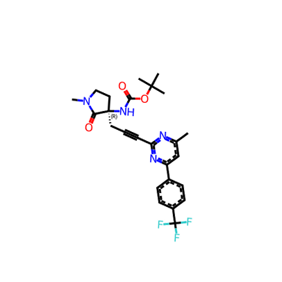 Cc1cc(-c2ccc(C(F)(F)F)cc2)nc(C#CC[C@@]2(NC(=O)OC(C)(C)C)CCN(C)C2=O)n1